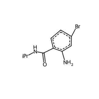 CC(C)NC(=O)c1ccc(Br)cc1N